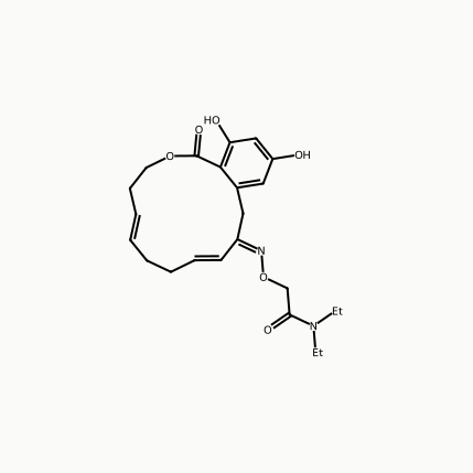 CCN(CC)C(=O)CO/N=C1\C=C\CC/C=C/CCOC(=O)c2c(O)cc(O)cc2C1